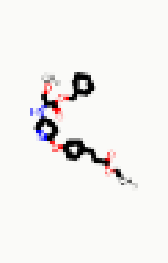 CCOC(=O)CCc1ccc(Oc2ccc(NC(COC)C(=O)OCc3ccccc3)cn2)cc1